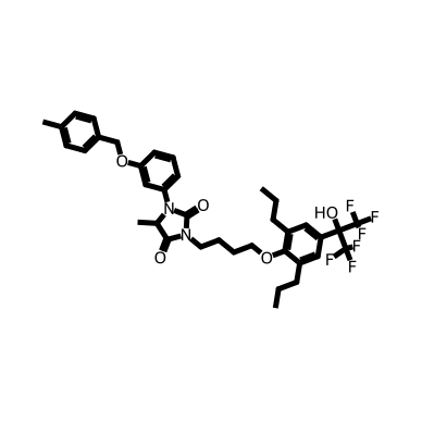 CCCc1cc(C(O)(C(F)(F)F)C(F)(F)F)cc(CCC)c1OCCCCN1C(=O)C(C)N(c2cccc(OCc3ccc(C)cc3)c2)C1=O